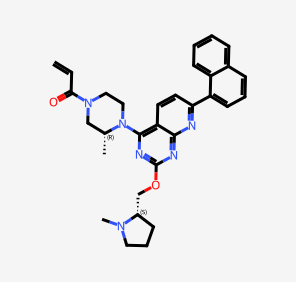 C=CC(=O)N1CCN(c2nc(OC[C@@H]3CCCN3C)nc3nc(-c4cccc5ccccc45)ccc23)[C@H](C)C1